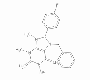 C=C1C2=C(N(C)C(=C)N1CCC)N(C)C(c1ccc(F)cc1)N2Cc1ccccc1